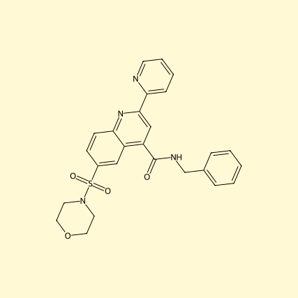 O=C(NCc1ccccc1)c1cc(-c2ccccn2)nc2ccc(S(=O)(=O)N3CCOCC3)cc12